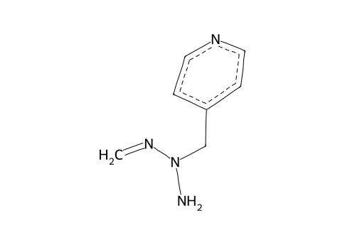 C=NN(N)Cc1ccncc1